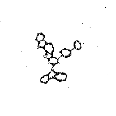 c1ccc(-c2ccc(-c3nc(-n4c5ccccc5c5ccccc54)nc4oc5c(ccc6c7ccccc7sc65)c34)cc2)cc1